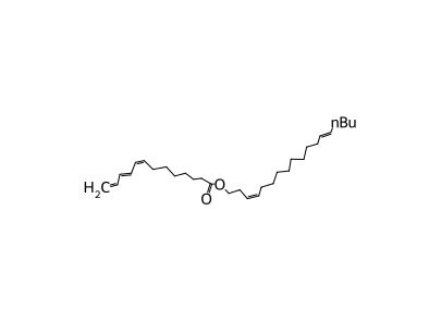 C=C/C=C/C=C\CCCCCCC(=O)OCC/C=C\CCCCCCCC/C=C/CCCC